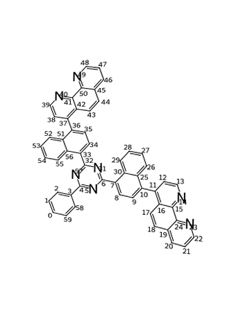 c1ccc(-c2nc(-c3ccc(-c4ccnc5c4ccc4cccnc45)c4ccccc34)nc(-c3ccc(-c4ccnc5c4ccc4cccnc45)c4ccccc34)n2)cc1